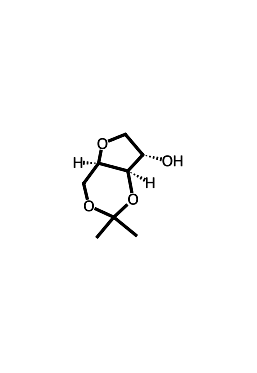 CC1(C)OC[C@H]2OC[C@H](O)[C@H]2O1